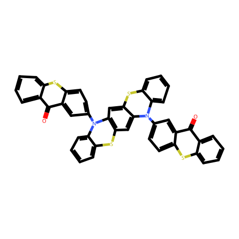 O=c1c2ccccc2sc2ccc(-n3c4ccccc4sc4cc5c(cc43)sc3ccccc3n5-c3ccc4sc5ccccc5c(=O)c4c3)cc12